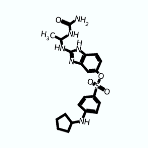 CC(NC(N)=O)Nc1nc2cc(OS(=O)(=O)c3ccc(NC4CCCC4)cc3)ccc2[nH]1